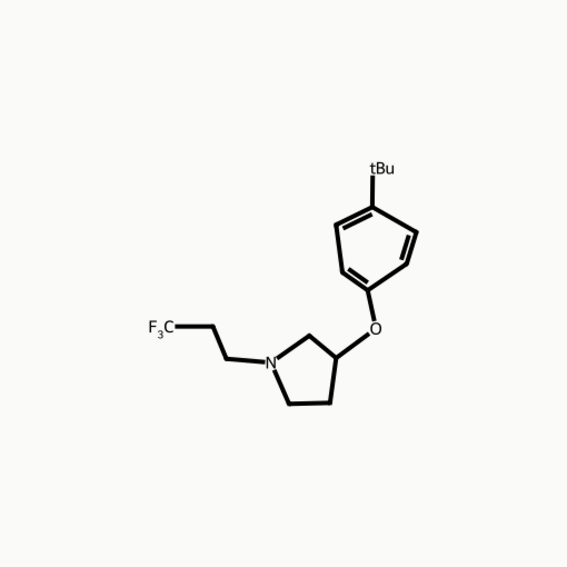 CC(C)(C)c1ccc(OC2CCN(CCC(F)(F)F)C2)cc1